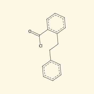 O=C(Cl)c1ccccc1CCc1ccccc1